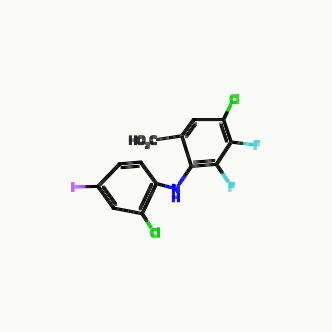 O=C(O)c1cc(Cl)c(F)c(F)c1Nc1ccc(I)cc1Cl